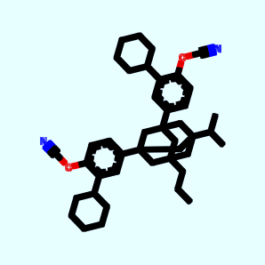 CCCC12CC3(c4ccc(OC#N)c(C5CCCCC5)c4)CC(c4ccc(OC#N)c(C5CCCCC5)c4)(C1)CC(C(C)C)(C2)C3